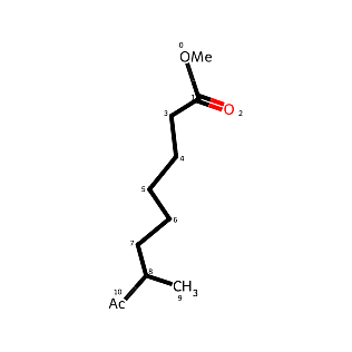 COC(=O)CCCCCC(C)C(C)=O